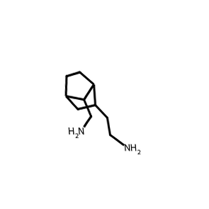 NCCC1CC2CCC1C2CN